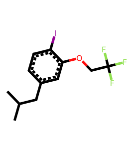 CC(C)Cc1ccc(I)c(OCC(F)(F)F)c1